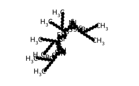 CCCCCCCCCCC(CCCCCCCC)Cc1cc(-c2cc3c4nsnc4c4cc(-c5cc(CC(CCCCCCCC)CCCCCCCCCC)c(-c6cc(F)c(-c7sc(-c8sc(-c9cc%10c%11nsnc%11c%11cc(-c%12cc(CC(CCCCCCCC)CCCCCCCCCC)c(Br)s%12)sc%11c%10s9)cc8CC(CCCCCCCC)CCCCCCCCCC)cc7F)s6)s5)sc4c3s2)sc1Br